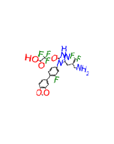 NCC(Cc1n[nH]c(=O)n1-c1ccc(-c2ccc3c(c2)OCO3)c(F)c1)=C(F)F.O=C(O)C(F)(F)F